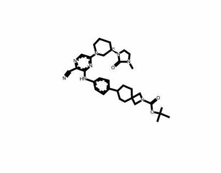 CN1CCN([C@@H]2CCCN(c3cnc(C#N)c(Nc4ccc(C5CCC6(CC5)CN(C(=O)OC(C)(C)C)C6)cc4)n3)C2)C1=O